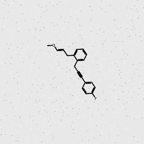 COC=CCc1ccccc1CC#Cc1ccc(F)cc1